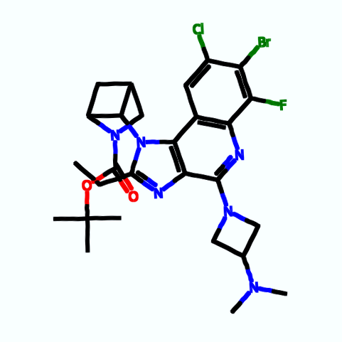 CCc1nc2c(N3CC(N(C)C)C3)nc3c(F)c(Br)c(Cl)cc3c2n1C1C2CC1N(C(=O)OC(C)(C)C)C2